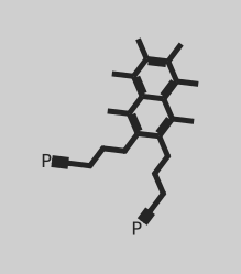 Cc1c(C)c(C)c2c(C)c(CCCC#P)c(CCCC#P)c(C)c2c1C